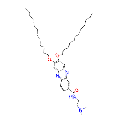 CCCCCCCCCCCCOc1cc2nc3ccc(C(=O)NCCN(C)C)cc3nc2cc1OCCCCCCCCCCCC